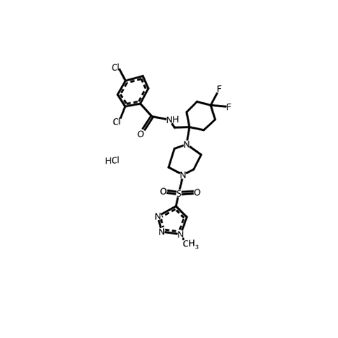 Cl.Cn1cc(S(=O)(=O)N2CCN(C3(CNC(=O)c4ccc(Cl)cc4Cl)CCC(F)(F)CC3)CC2)nn1